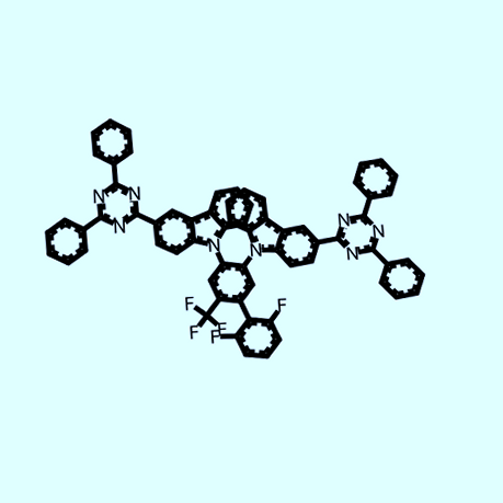 Fc1cccc(F)c1-c1cc(-n2c3ccccc3c3cc(-c4nc(-c5ccccc5)nc(-c5ccccc5)n4)ccc32)c(-n2c3ccccc3c3cc(-c4nc(-c5ccccc5)nc(-c5ccccc5)n4)ccc32)cc1C(F)(F)F